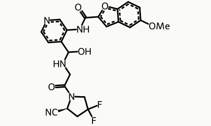 COc1ccc2oc(C(=O)Nc3cnccc3C(O)NCC(=O)N3CC(F)(F)C[C@H]3C#N)cc2c1